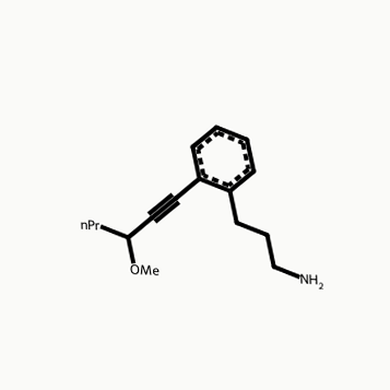 CCCC(C#Cc1ccccc1CCCN)OC